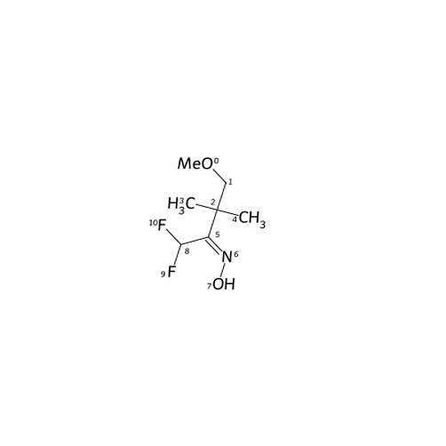 COCC(C)(C)C(=NO)C(F)F